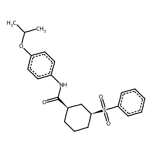 CC(C)Oc1ccc(NC(=O)[C@@H]2CCC[C@H](S(=O)(=O)c3ccccc3)C2)cc1